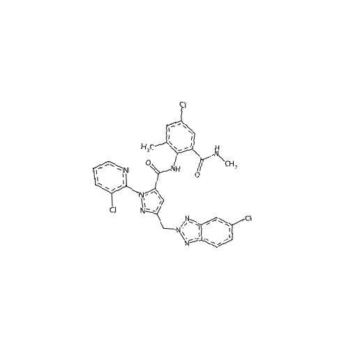 CNC(=O)c1cc(Cl)cc(C)c1NC(=O)c1cc(Cn2nc3ccc(Cl)cc3n2)nn1-c1ncccc1Cl